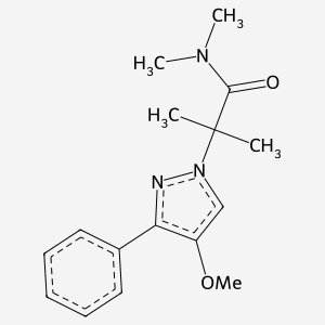 COc1cn(C(C)(C)C(=O)N(C)C)nc1-c1ccccc1